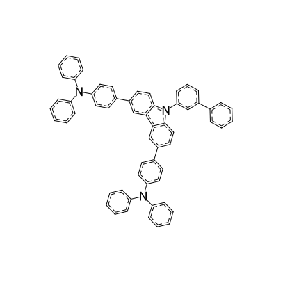 c1ccc(-c2cccc(-n3c4ccc(-c5ccc(N(c6ccccc6)c6ccccc6)cc5)cc4c4cc(-c5ccc(N(c6ccccc6)c6ccccc6)cc5)ccc43)c2)cc1